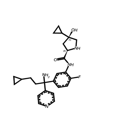 NC(CCC1CC1)(c1ccncc1)c1ccc(F)c(NC(=O)[C@H]2C[C@](O)(C3CC3)CN2)c1